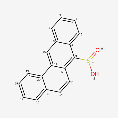 O=S(O)c1c2ccccc2cc2c1ccc1ccccc12